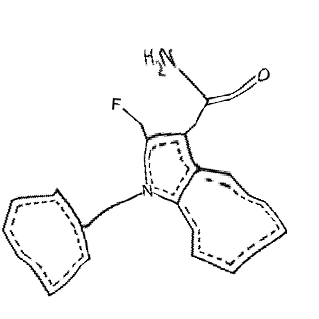 NC(=O)c1c(F)n(-c2ccccc2)c2ccccc12